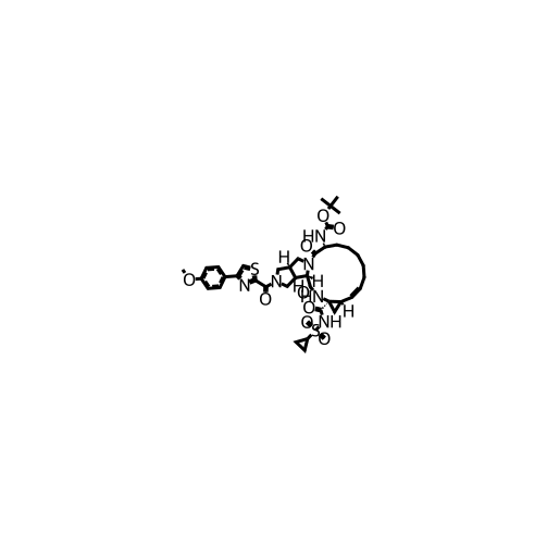 COc1ccc(-c2csc(C(=O)N3C[C@H]4CN5C(=O)[C@H](NC(=O)OC(C)(C)C)CCCCC/C=C\[C@@H]6C[C@@]6(C(=O)NS(=O)(=O)C6CC6)NC(=O)[C@@H]5[C@H]4C3)n2)cc1